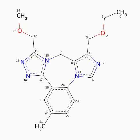 CCOCc1ncn2c1Cn1c(COC)nnc1-c1cc(C)ccc1-2